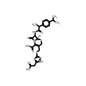 CC(C)c1ccc(C(N)C(=O)NC2C(=O)N3C(C(=O)O)=C(CSc4n[nH]c(CC(=O)O)n4)CS[C@H]23)cc1